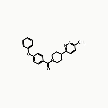 Cc1ccc(C2CCN(C(=O)c3ccc(Oc4ccccc4)cc3)CC2)nn1